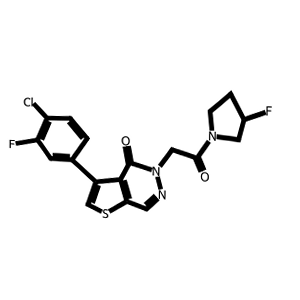 O=C(Cn1ncc2scc(-c3ccc(Cl)c(F)c3)c2c1=O)N1CCC(F)C1